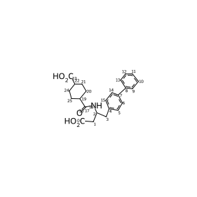 O=C(O)CC(Cc1ccc(-c2ccccc2)cc1)NC(=O)C1CCC(C(=O)O)CC1